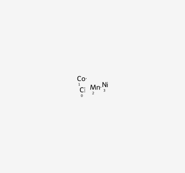 [C].[Co].[Mn].[Ni]